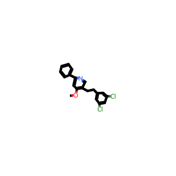 COc1cc(-c2ccccc2)ncc1CCc1cc(Cl)cc(Cl)c1